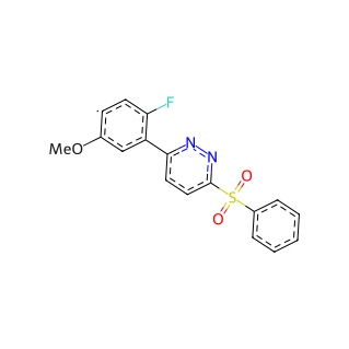 COc1[c]cc(F)c(-c2ccc(S(=O)(=O)c3ccccc3)nn2)c1